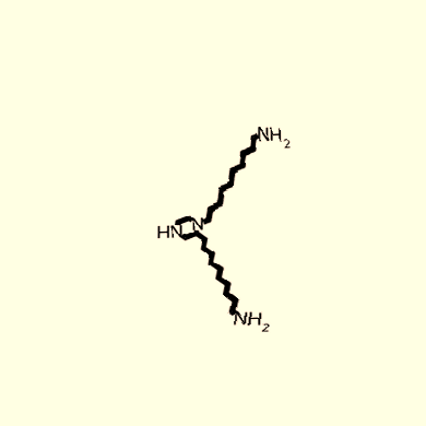 NCCCCCCCCCCC1CNCCN1CCCCCCCCCCN